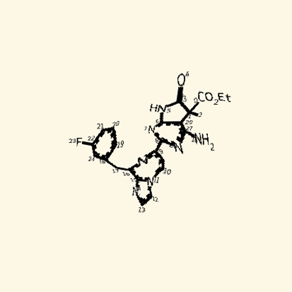 CCOC(=O)C1(C)C(=O)Nc2nc(-c3cn4ccnc4c(Cc4cccc(F)c4)n3)nc(N)c21